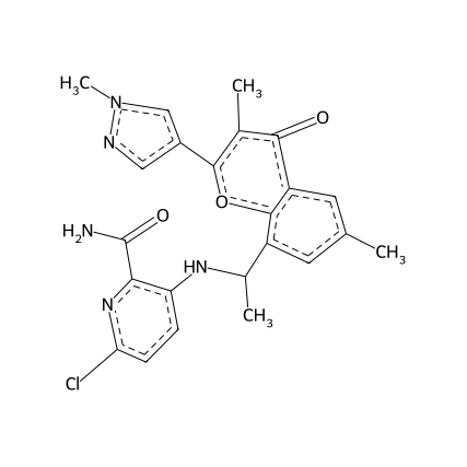 Cc1cc(C(C)Nc2ccc(Cl)nc2C(N)=O)c2oc(-c3cnn(C)c3)c(C)c(=O)c2c1